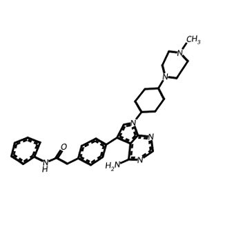 CN1CCN(C2CCC(n3cc(-c4ccc(CC(=O)Nc5ccccc5)cc4)c4c(N)ncnc43)CC2)CC1